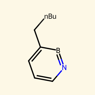 CCCCCc1bnccc1